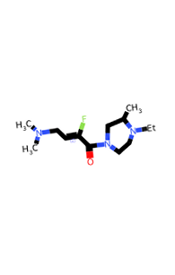 CCN1CCN(C(=O)/C(F)=C/CN(C)C)CC1C